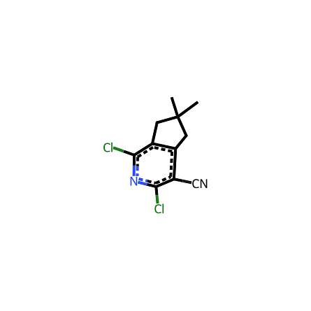 CC1(C)Cc2c(Cl)nc(Cl)c(C#N)c2C1